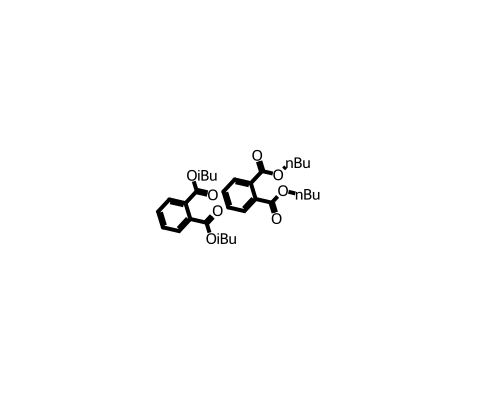 CC(C)COC(=O)c1ccccc1C(=O)OCC(C)C.CCCCOC(=O)c1ccccc1C(=O)OCCCC